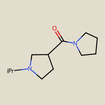 CC(C)N1CCC(C(=O)N2CCCC2)C1